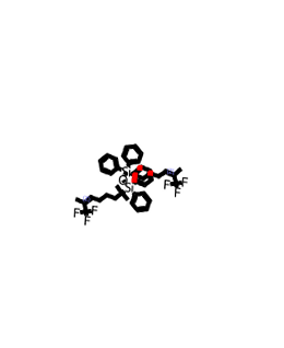 C/C(=C/CCCC(C)(C)[Si](O[Si](c1ccccc1)(c1ccccc1)C(C)(C)CCC/C=C(/C)C(F)(F)F)(c1ccccc1)c1ccccc1)C(F)(F)F